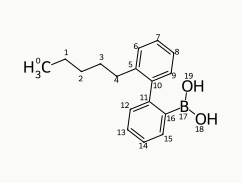 CCCCCc1ccccc1-c1ccccc1B(O)O